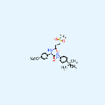 COc1ccc(C(NC(=O)CCS(C)(=O)=O)C(=O)Nc2ccc([Si](C)(C)C)cc2)cc1